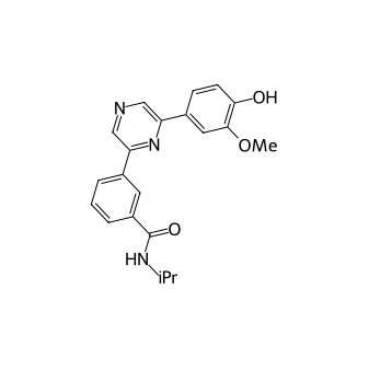 COc1cc(-c2cncc(-c3cccc(C(=O)NC(C)C)c3)n2)ccc1O